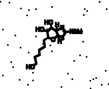 CNC1=N[C@@H]2[C@@H](O)[C@H](O)[C@@H](CCCCCCO)O[C@@H]2S1